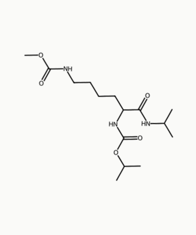 COC(=O)NCCCCC(NC(=O)OC(C)C)C(=O)NC(C)C